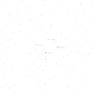 C=C1CC(C)(C)C(CN)=CC1C=O